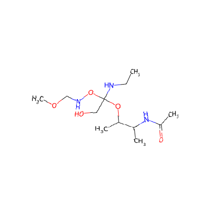 CCNC(CO)(ONCOC)OC(C)C(C)NC(C)=O